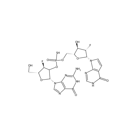 Nc1nc2c(ncn2[C@@H]2O[C@H](CO)[C@@H](F)C2OP(=O)(S)OC[C@H]2O[C@@H](n3ccc4c(=O)[nH]cnc43)[C@@H](F)[C@@H]2O)c(=O)[nH]1